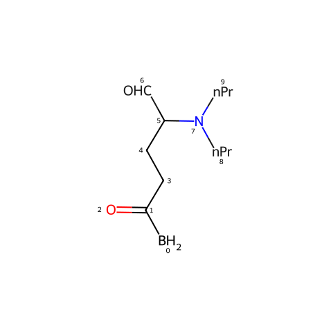 BC(=O)CCC(C=O)N(CCC)CCC